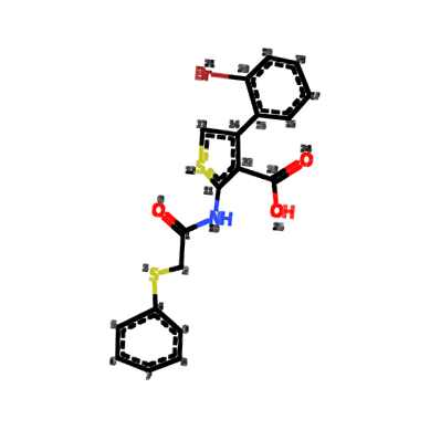 O=C(CSc1ccccc1)Nc1scc(-c2ccccc2Br)c1C(=O)O